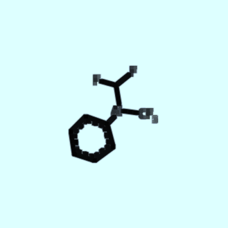 F[CH](F)[Al]([c]1ccccc1)[C](F)(F)F